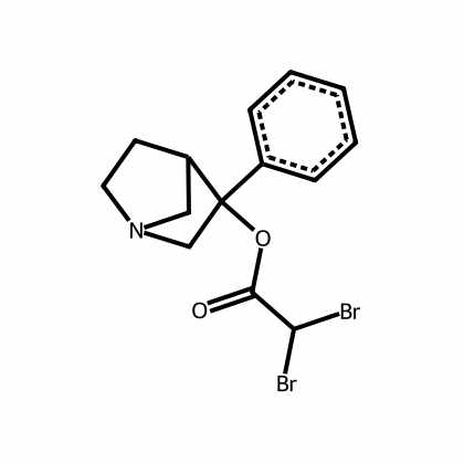 O=C(OC1(c2ccccc2)CN2CCC1C2)C(Br)Br